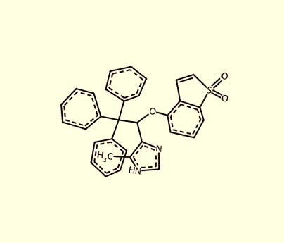 Cc1[nH]cnc1C(Oc1cccc2c1C=CS2(=O)=O)C(c1ccccc1)(c1ccccc1)c1ccccc1